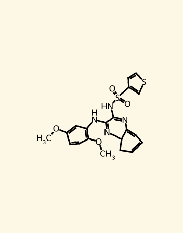 COc1ccc(OC)c(NC2=NC3CC=CC=C3N=C2NS(=O)(=O)c2ccsc2)c1